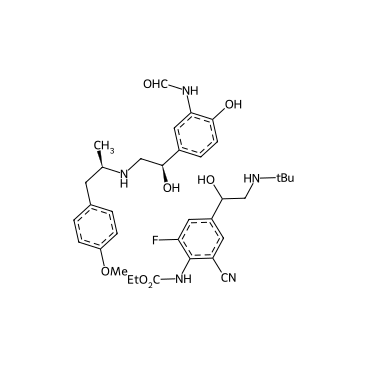 CCOC(=O)Nc1c(F)cc(C(O)CNC(C)(C)C)cc1C#N.COc1ccc(C[C@@H](C)NC[C@H](O)c2ccc(O)c(NC=O)c2)cc1